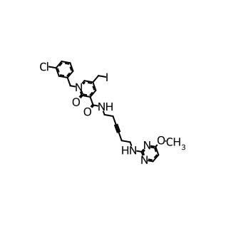 COc1ccnc(NCCC#CCCNC(=O)c2cc(CI)cn(Cc3cccc(Cl)c3)c2=O)n1